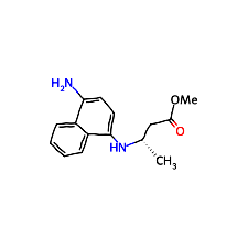 COC(=O)C[C@H](C)Nc1ccc(N)c2ccccc12